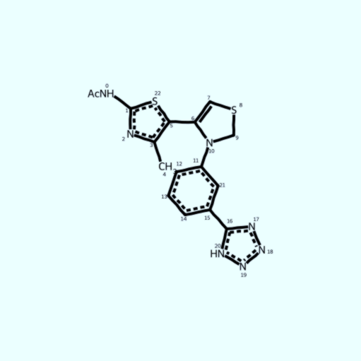 CC(=O)Nc1nc(C)c(C2=CSCN2c2cccc(-c3nnn[nH]3)c2)s1